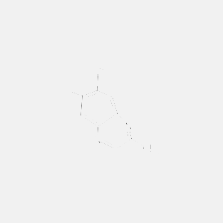 Fc1cc2ncc(C(F)(F)F)nc2cc1Br